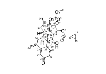 COC(=O)O[C@]1(C(=O)COC(=O)C2CC2)[C@H](C)C[C@H]2[C@@H]3C[C@H](F)C4=CC(=O)C=C[C@]4(C)[C@@]3(F)[C@@H](O)C[C@@]21C